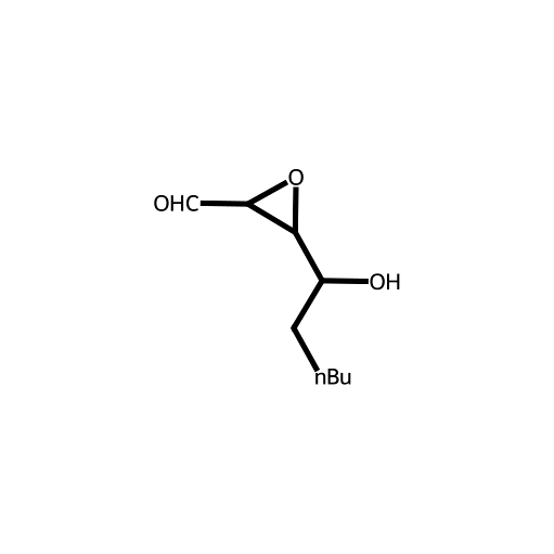 CCCCCC(O)C1OC1C=O